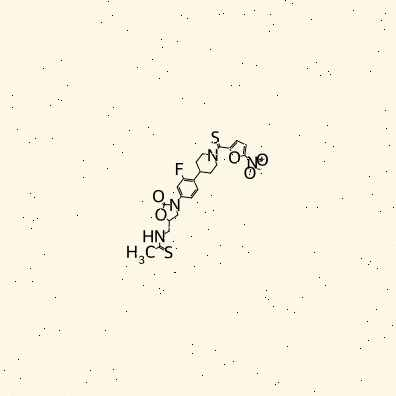 CC(=S)NCC1CN(c2ccc(C3CCN(C(=S)c4ccc([N+](=O)[O-])o4)CC3)c(F)c2)C(=O)O1